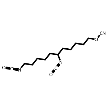 N#COCCCCCC(CCCCCN=C=O)N=C=O